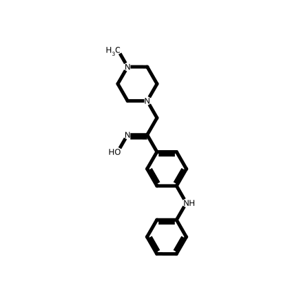 CN1CCN(CC(=NO)c2ccc(Nc3ccccc3)cc2)CC1